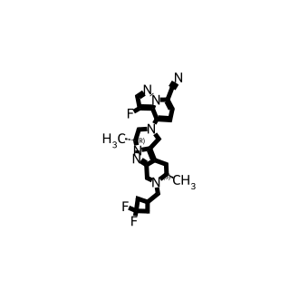 C[C@@H]1CN(c2ccc(C#N)n3ncc(F)c23)Cc2c3c(nn21)CN(CC1CC(F)(F)C1)[C@@H](C)C3